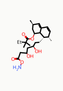 CCC(C)(C)C(=O)O[C@H]1C[C@@H](C)C=C2C=C[C@H](C)[C@H](CC[C@@H](O)C[C@@H](O)CC(=O)ON)C21